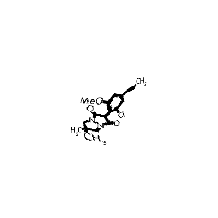 CC#Cc1cc(Cl)c(C2C(=O)N3CC(C)(C)CN3C2=O)c(OC)c1